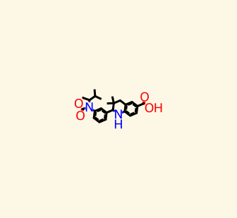 CC(C)C1COC(=O)N1c1cccc(C2Nc3ccc(C(=O)O)cc3CC2(C)C)c1